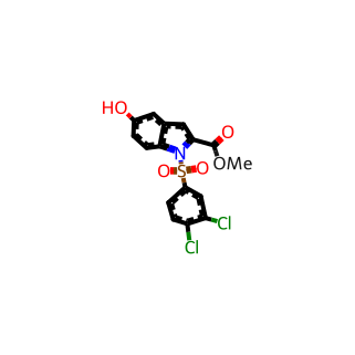 COC(=O)c1cc2cc(O)ccc2n1S(=O)(=O)c1ccc(Cl)c(Cl)c1